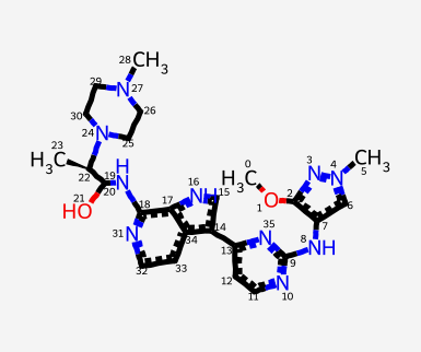 COc1nn(C)cc1Nc1nccc(-c2c[nH]c3c(NC(O)[C@@H](C)N4CCN(C)CC4)nccc23)n1